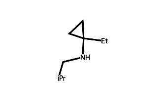 CCC1(NCC(C)C)CC1